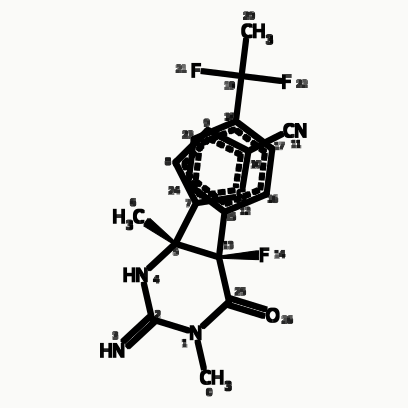 CN1C(=N)N[C@](C)(c2ccc(C#N)s2)[C@](F)(c2ccc(C(C)(F)F)cc2)C1=O